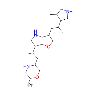 CC(C)C1CNC(CC(C)C2CNC3C(CC(C)C4CNCC4C)COC23)CO1